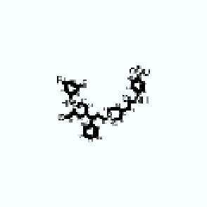 CS(=O)(=O)c1ccc(NC(=O)CC2CCN(CCC(c3ccccc3)C3CCN(Nc4cc(F)cc(F)c4)C(=C=O)C3)CC2)cc1